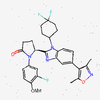 COc1ccc(N2C(=O)CC[C@H]2c2nc3cc(-c4c(C)noc4C)ccc3n2C2CCC(F)(F)CC2)cc1F